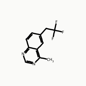 Cc1ncnc2ccc(CC(F)(F)F)cc12